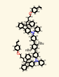 C=Cc1ccc(OCCCCC2(c3ccccc3)c3ccccc3-c3ccc(N(c4ccccc4)c4ccc(-c5cc(CCCC)c(-c6ccc(N(c7ccccc7)c7ccc8c(c7)C(CCCCOc7ccc(C=C)cc7)(c7ccccc7)c7ccccc7-8)cc6)cc5CCCC)cc4)cc32)cc1